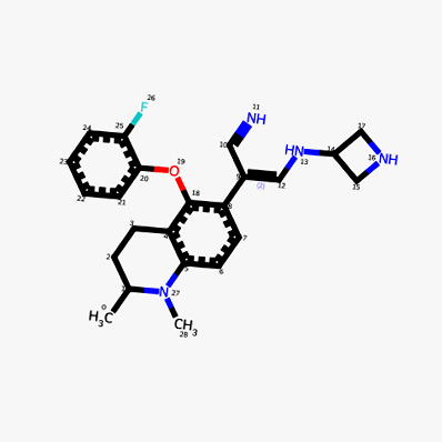 CC1CCc2c(ccc(/C(C=N)=C/NC3CNC3)c2Oc2ccccc2F)N1C